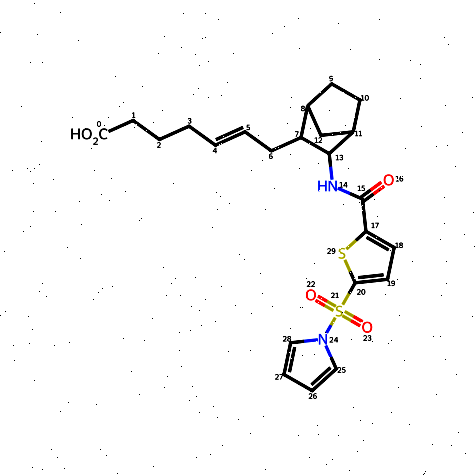 O=C(O)CCCC=CCC1C2CCC(C2)C1NC(=O)c1ccc(S(=O)(=O)n2cccc2)s1